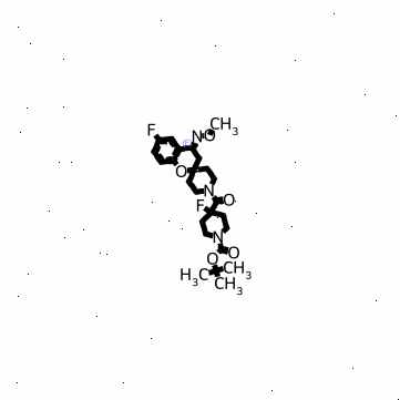 CO/N=C1\CC2(CCN(C(=O)C3(F)CCN(C(=O)OC(C)(C)C)CC3)CC2)Oc2ccc(F)cc21